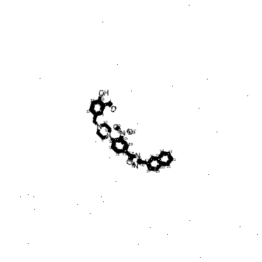 O=Cc1cc(CN2CCN(c3ccc(-c4nc(-c5ccc6ccccc6c5)no4)cc3[N+](=O)[O-])CC2)ccc1O